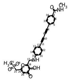 CNC(=O)c1ccc(C#CC#Cc2ccc(NCc3oc(CS(C)(=O)=O)cc(=O)c3O)cc2)cc1